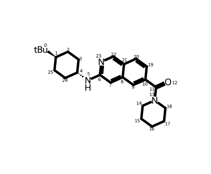 CC(C)(C)[C@H]1CC[C@H](Nc2cc3cc(C(=O)N4CCCCC4)ccc3cn2)CC1